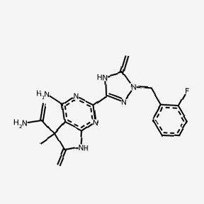 C=C1NC(c2nc(N)c3c(n2)NC(=C)C3(C)C(=C)N)=NN1Cc1ccccc1F